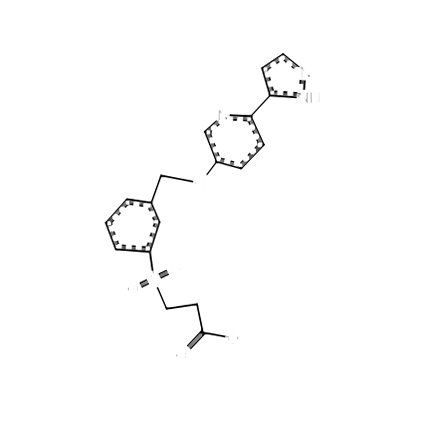 O=C(O)CCS(=O)(=O)c1cccc(COc2ccc(-c3ccn[nH]3)nc2)c1